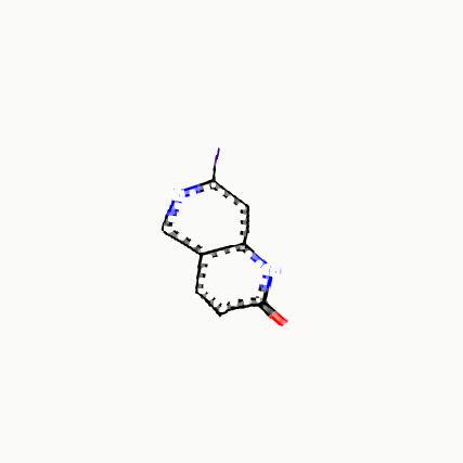 O=c1ccc2cnc(I)cc2[nH]1